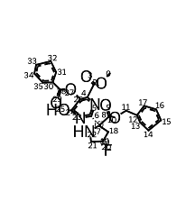 COC(=O)c1nc([C@]2(C(=O)OCc3ccccc3)C[C@H](F)CN2)nc(O)c1OC(=O)c1ccccc1